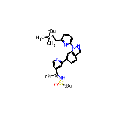 CCC[C@H](N[S+]([O-])C(C)(C)C)c1ccnc(-c2ccc3cnn(-c4cccc(CC[Si](C)(C)C(C)(C)C)n4)c3c2)c1